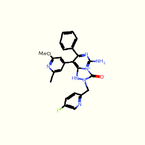 COc1cc(-c2c(-c3ccccc3)nc(N)[n+]3c(=O)n(Cc4ccc(F)cn4)[nH]c23)cc(C)n1